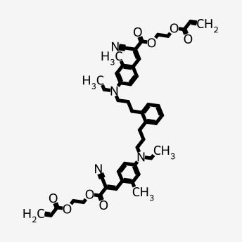 C=CC(=O)OCCOC(=O)/C(C#N)=C/c1ccc(N(CC)CCCc2ccccc2CCCN(CC)c2ccc(/C=C(\C#N)C(=O)OCCOC(=O)C=C)c(C)c2)cc1C